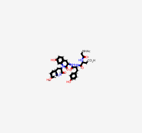 CC(=O)NCC(=O)NC(CC(=O)O)C(=O)NC(Cc1ccc(O)cc1)C(=O)NC1Cc2ccc(O)cc2N(C(Cc2ccc(O)cc2)C(N)=O)C1=O